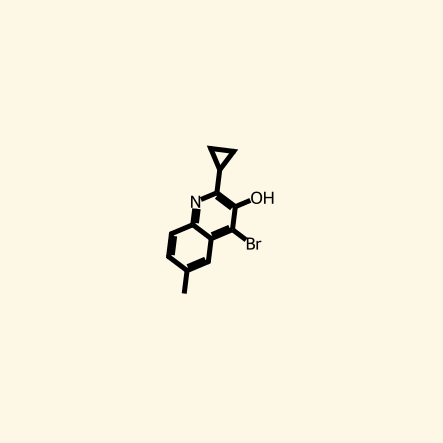 Cc1ccc2nc(C3CC3)c(O)c(Br)c2c1